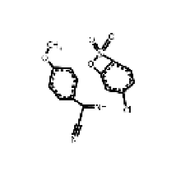 COc1ccc(C(=N)C#N)cc1.O=S1(=O)Oc2cc(Cl)ccc21